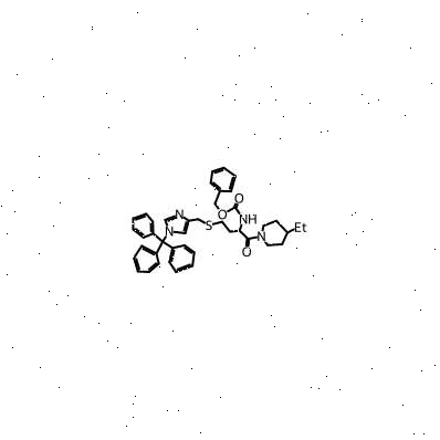 CCC1CCN(C(=O)C(CCSCc2cn(C(c3ccccc3)(c3ccccc3)c3ccccc3)cn2)NC(=O)OCc2ccccc2)CC1